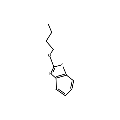 CCCCOc1nc2[c]cccc2s1